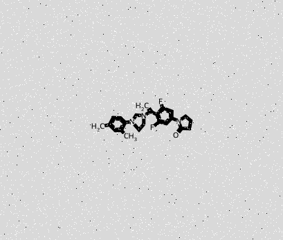 C=C(c1c(F)cc(N2CCCC2=O)cc1F)N1CCN(c2ccc(C)cc2C)C1